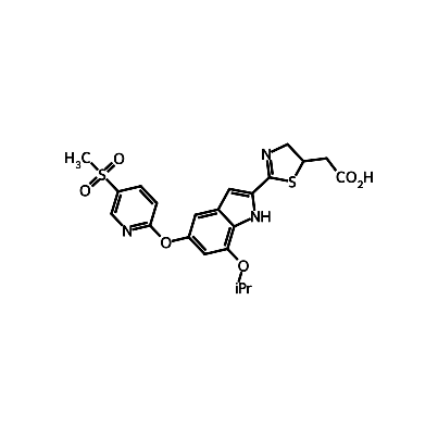 CC(C)Oc1cc(Oc2ccc(S(C)(=O)=O)cn2)cc2cc(C3=NCC(CC(=O)O)S3)[nH]c12